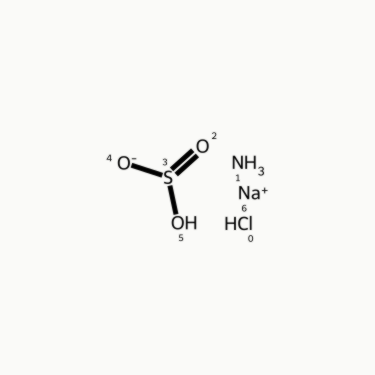 Cl.N.O=S([O-])O.[Na+]